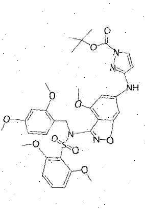 COc1ccc(CN(c2noc3cc(Nc4ccn(C(=O)OC(C)(C)C)n4)cc(OC)c23)S(=O)(=O)c2c(OC)cccc2OC)c(OC)c1